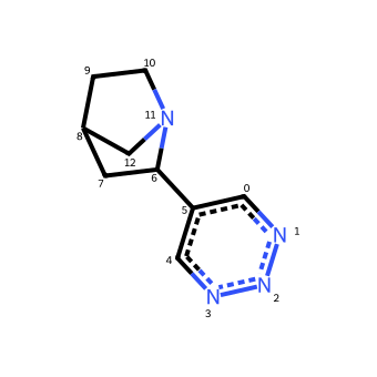 c1nnncc1C1CC2CCN1C2